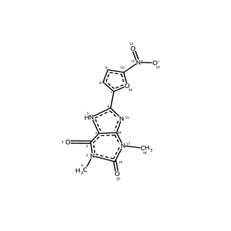 Cn1c(=O)c2[nH]c(-c3ccc([N+](=O)[O-])o3)nc2n(C)c1=O